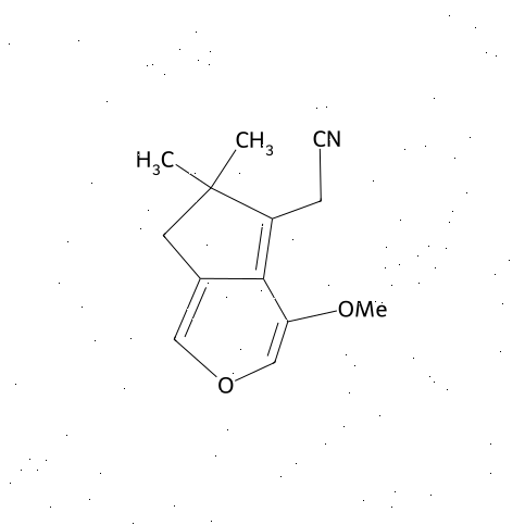 COC1=COC=C2CC(C)(C)C(CC#N)=C21